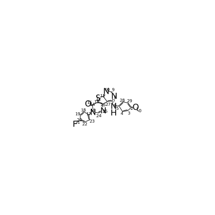 COc1ccc(Nc2ncnc3sc4c(=O)n(-c5ccc(F)cc5)cnc4c23)cc1